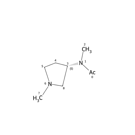 CC(=O)N(C)[C@H]1CCN(C)C1